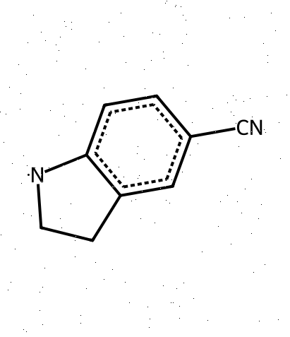 N#Cc1ccc2c(c1)CC[N]2